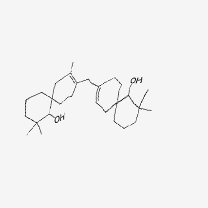 CC1=C(CC2=CCC3(CCCC(C)(C)C3O)CC2)CCC2(CCCC(C)(C)C2O)C1